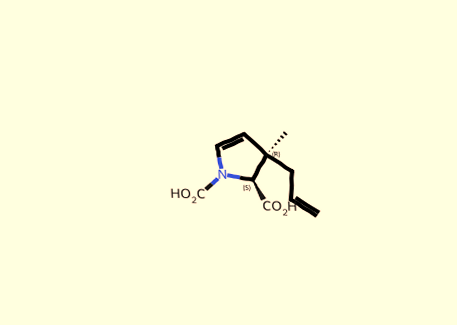 C=CC[C@]1(C)C=CN(C(=O)O)[C@@H]1C(=O)O